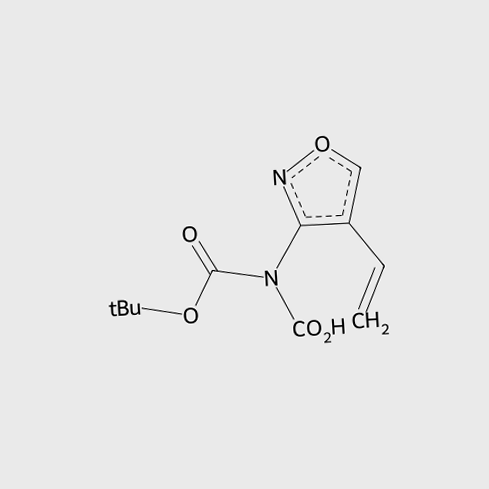 C=Cc1conc1N(C(=O)O)C(=O)OC(C)(C)C